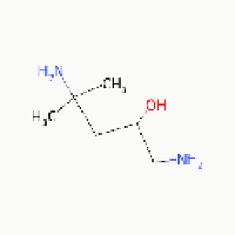 CC(C)(N)CC(O)CN